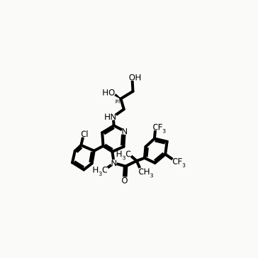 CN(C(=O)C(C)(C)c1cc(C(F)(F)F)cc(C(F)(F)F)c1)c1cnc(NC[C@@H](O)CO)cc1-c1ccccc1Cl